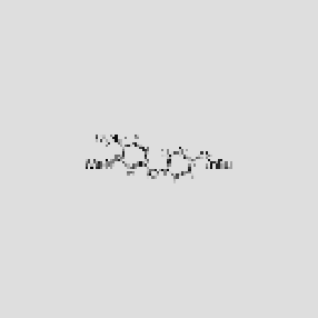 CCCCOc1ccc(Oc2ccc([N+](=O)[O-])c(NC)c2)cn1